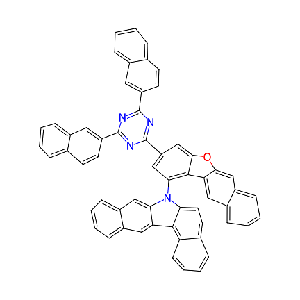 c1ccc2cc(-c3nc(-c4ccc5ccccc5c4)nc(-c4cc(-n5c6cc7ccccc7cc6c6c7ccccc7ccc65)c5c(c4)oc4cc6ccccc6cc45)n3)ccc2c1